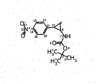 CC(C)(C)OC(=O)NC1CC1c1ccc([N+](=O)[O-])cc1